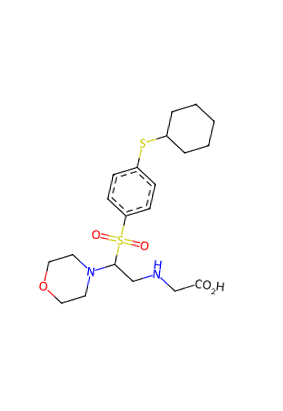 O=C(O)CNCC(N1CCOCC1)S(=O)(=O)c1ccc(SC2CCCCC2)cc1